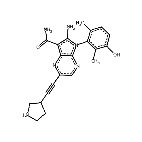 Cc1ccc(O)c(C)c1-n1c(N)c(C(N)=O)c2nc(C#CC3CCNC3)cnc21